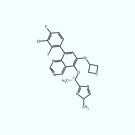 C[C@H](Oc1c(OC2COC2)cc(-c2ccc(F)c(Cl)c2F)c2ncncc12)c1ncn(C)n1